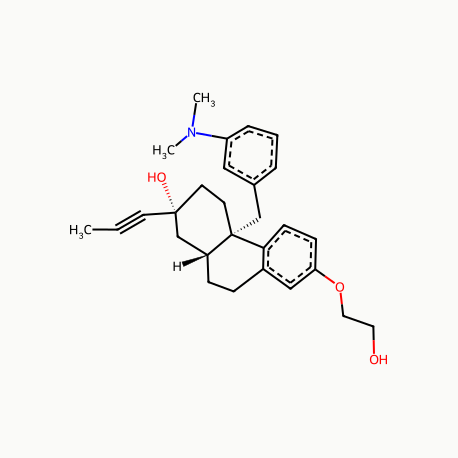 CC#C[C@@]1(O)CC[C@@]2(Cc3cccc(N(C)C)c3)c3ccc(OCCO)cc3CC[C@@H]2C1